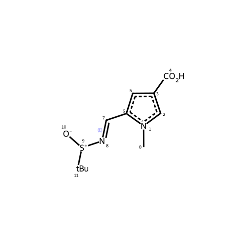 Cn1cc(C(=O)O)cc1/C=N/[S+]([O-])C(C)(C)C